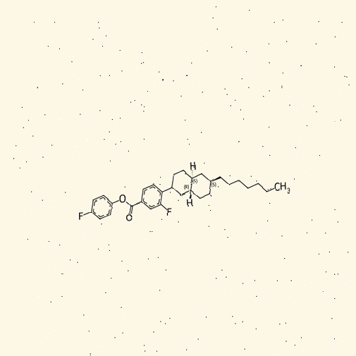 CCCCCCC[C@H]1CC[C@@H]2CC(c3ccc(C(=O)Oc4ccc(F)cc4)cc3F)CC[C@H]2C1